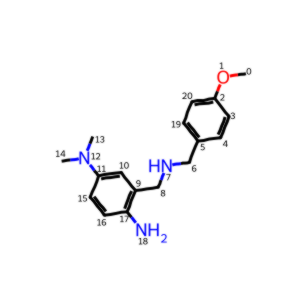 COc1ccc(CNCc2cc(N(C)C)ccc2N)cc1